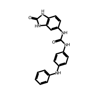 O=C(Nc1ccc(Nc2ccccc2)cc1)Nc1ccc2[nH]c(=O)[nH]c2c1